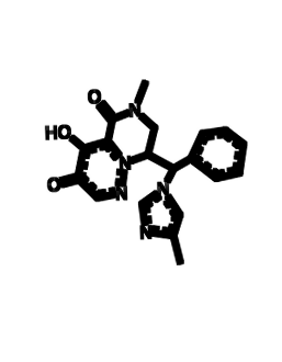 Cc1cn(C(c2ccccc2)C2CN(C)C(=O)c3c(O)c(=O)cnn32)cn1